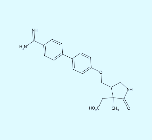 CC1(CC(=O)O)C(=O)NCC1COc1ccc(-c2ccc(C(=N)N)cc2)cc1